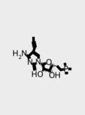 C=C1N=C(N)C(C#CC)=CN1[C@@H]1O[C@H](CCP(=C)(C)C)[C@@H](O)[C@H]1O